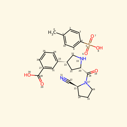 Cc1ccc(S(=O)(=O)O)cc1.N#C[C@@H]1CCCN1C(=O)[C@@H]1C[C@H](c2cccc(C(=O)O)c2)CN1